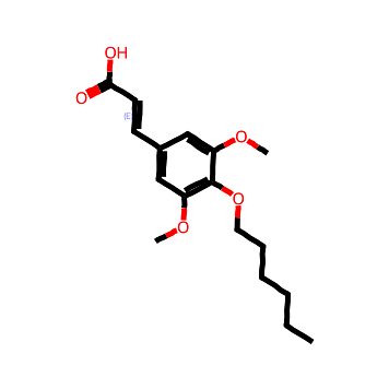 CCCCCCOc1c(OC)cc(/C=C/C(=O)O)cc1OC